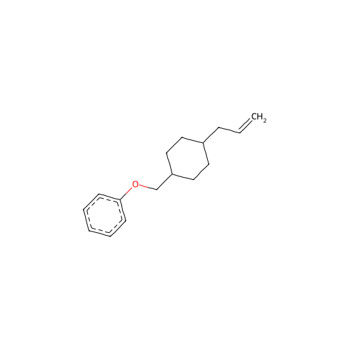 C=CCC1CCC(COc2ccccc2)CC1